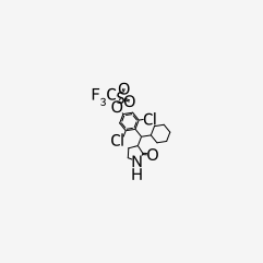 O=C1NCCC1C(c1c(Cl)cc(OS(=O)(=O)C(F)(F)F)cc1Cl)C1CCCCC1